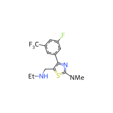 CCNCc1sc(NC)nc1-c1cc(F)cc(C(F)(F)F)c1